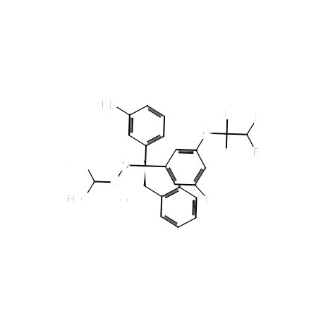 Bc1cccc([C@@](Cc2ccccc2)(N[S@+]([O-])C(C)C)c2cc(F)cc(OC(F)(F)C(F)F)c2)c1